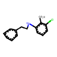 O=C(O)c1c(Cl)cccc1NCCc1ccccc1